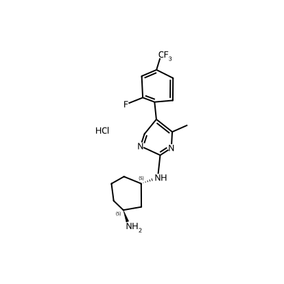 Cc1nc(N[C@H]2CCC[C@H](N)C2)ncc1-c1ccc(C(F)(F)F)cc1F.Cl